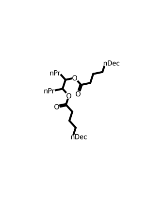 CCCCCCCCCCCCCC(=O)OC(CCC)C(CCC)OC(=O)CCCCCCCCCCCCC